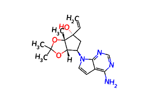 C=C[C@@]1(O)C[C@@H](n2ccc3c(N)ncnc32)[C@@H]2OC(C)(C)O[C@@]21C